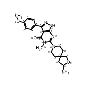 COc1ccc(-c2n[nH]c3nc(N4CCC5(CC4)CO[C@@H](C)C5)n(C)c(=O)c23)cc1